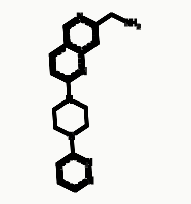 NCc1cc2nc(N3CCN(c4cccnn4)CC3)ccc2cn1